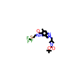 Cc1cc2nn(CC3CN(C(=O)OC(C)(C)C)C3)cc2cc1C(=O)NCCSC(F)(F)F